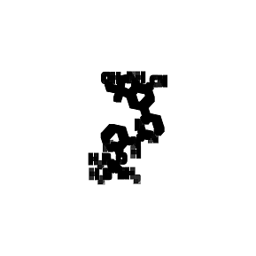 BC(B)(B)Oc1ncccc1Nc1nccc(-c2cc(C#N)c3c(c2)C(C)(CO)CN3)n1